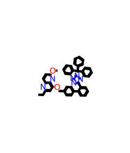 CCc1cc(OCc2ccc(-c3ccccc3-c3nnn(C(c4ccccc4)(c4ccccc4)c4ccccc4)n3)cc2)c2nc(OC)ccc2n1